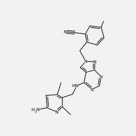 Cc1ccc(Cn2cc3c(NCc4c(C)cc(N)nc4C)ncnc3n2)c(C#N)c1